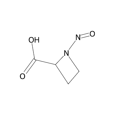 O=NN1CCC1C(=O)O